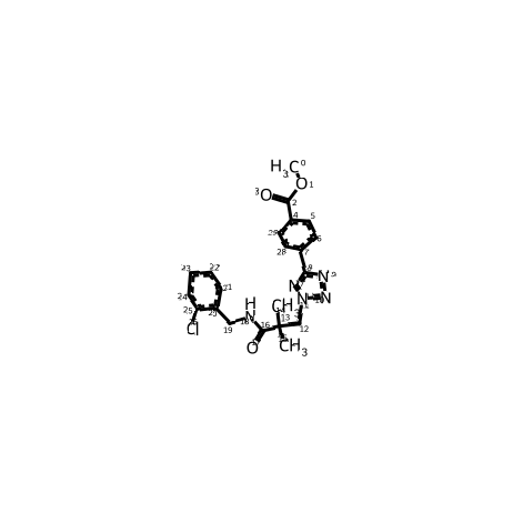 COC(=O)c1ccc(-c2nnn(CC(C)(C)C(=O)NCc3ccccc3Cl)n2)cc1